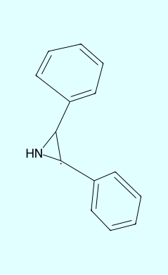 c1ccc([C]2NC2c2ccccc2)cc1